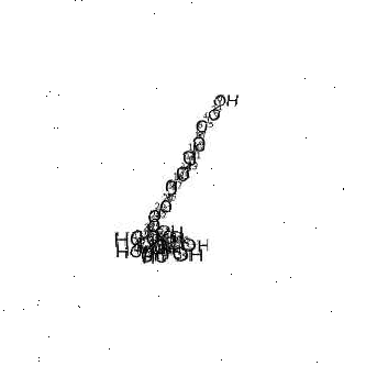 OCCOCCOCCOCCOCCOCCOCCOCCOOC[C@H]1O[C@H](O[C@]2(CO)O[C@H](CO)[C@@H](O)[C@@H]2O)[C@H](O)[C@@H](O)[C@@H]1O